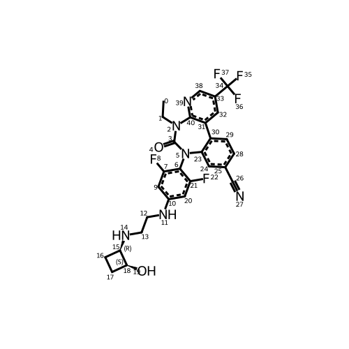 CCN1C(=O)N(c2c(F)cc(NCCN[C@@H]3CC[C@@H]3O)cc2F)c2cc(C#N)ccc2-c2cc(C(F)(F)F)cnc21